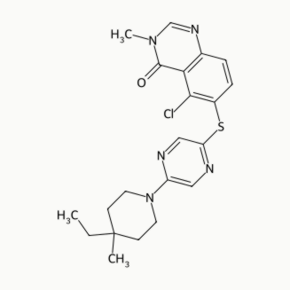 CCC1(C)CCN(c2cnc(Sc3ccc4ncn(C)c(=O)c4c3Cl)cn2)CC1